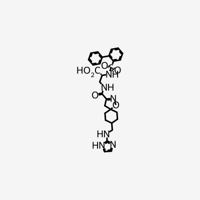 O=C(NC[C@H](NS(=O)(=O)c1ccccc1-c1ccccc1)C(=O)O)C1=NOC2(CCC(CNc3ncc[nH]3)CC2)C1